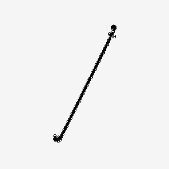 O=C(CSSc1ccccn1)NCCOCCOCCOCCOCCOCCOCCOCCOCCOCCOCCOCCOCCOCCOCCOCCOCCOCCOCCOCCOCCOCCOCCOCCOCCC(=O)ON1C(=O)CCC1=O